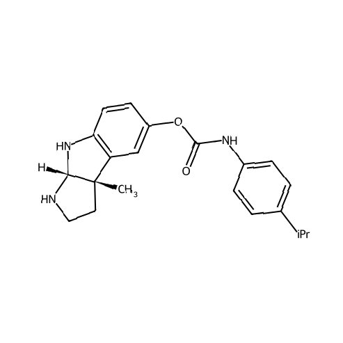 CC(C)c1ccc(NC(=O)Oc2ccc3c(c2)[C@]2(C)CCN[C@@H]2N3)cc1